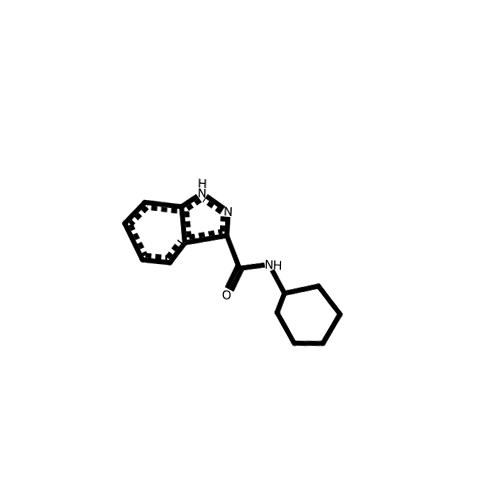 O=C(NC1CCCCC1)c1n[nH]c2ccccc12